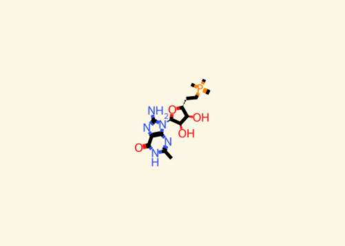 C=P(C)(C)CC[C@H]1O[C@@H](n2c(N)nc3c(=O)[nH]c(C)nc32)[C@H](O)[C@@H]1O